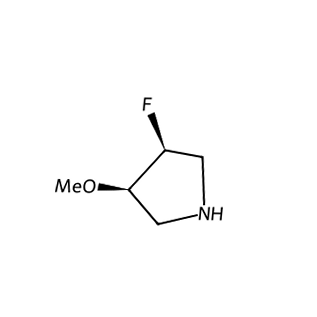 CO[C@@H]1CNC[C@@H]1F